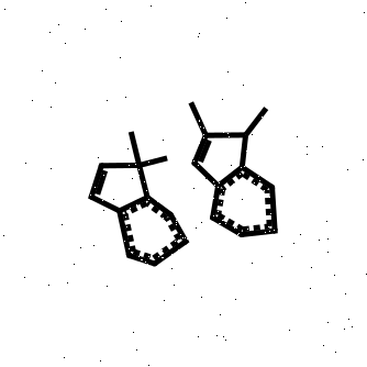 CC1(C)C=Cc2ccccc21.CC1=Cc2ccccc2C1C